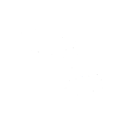 C/C=C\C(=C/C1=Cc2c(cccc2-c2ccc3c(c2)-c2ccccc2C3)C1)N1c2ccccc2C2C=CC=CC21